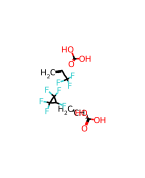 C=C.C=CC(F)(F)F.FC1C(F)(F)C1(F)F.O=C(O)O.O=C(O)O